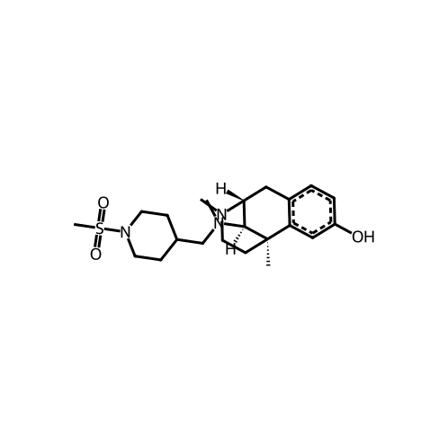 CN1CC[C@]2(C)c3cc(O)ccc3C[C@@H]1[C@@H]2N(C)CC1CCN(S(C)(=O)=O)CC1